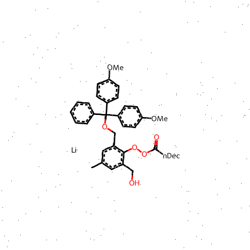 CCCCCCCCCCC(=O)OOc1c(CO)cc(C)cc1COC(c1ccccc1)(c1ccc(OC)cc1)c1ccc(OC)cc1.[Li]